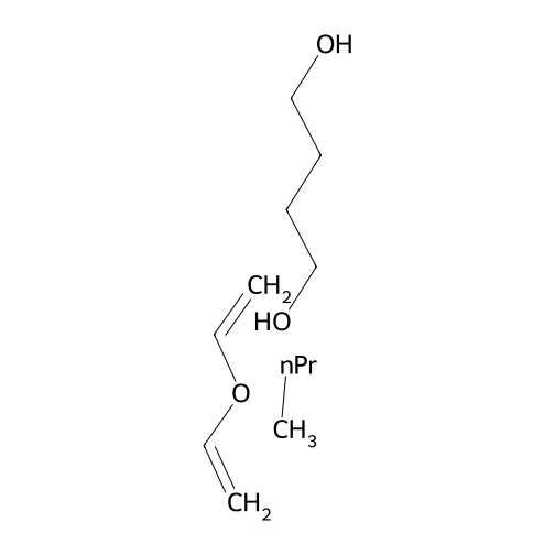 C=COC=C.CCCC.OCCCCO